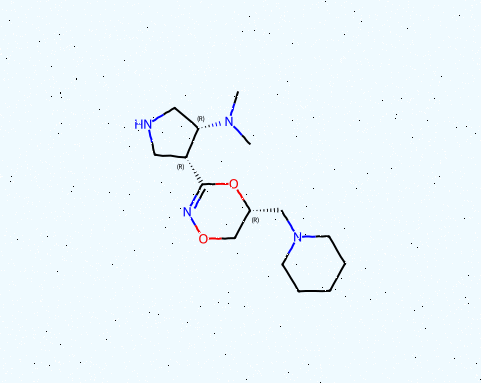 CN(C)[C@H]1CNC[C@H]1C1=NOC[C@@H](CN2CCCCC2)O1